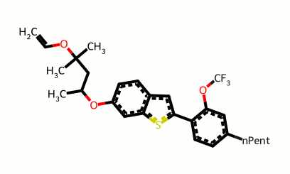 C=COC(C)(C)CC(C)Oc1ccc2cc(-c3ccc(CCCCC)cc3OC(F)(F)F)sc2c1